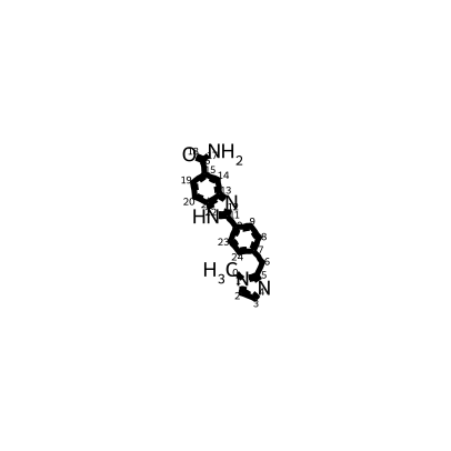 Cn1ccnc1Cc1ccc(-c2nc3cc(C(N)=O)ccc3[nH]2)cc1